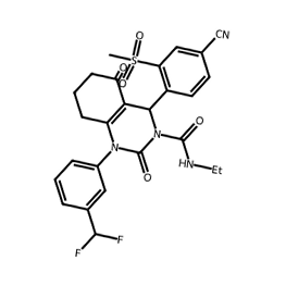 CCNC(=O)N1C(=O)N(c2cccc(C(F)F)c2)C2=C(C(=O)CCC2)C1c1ccc(C#N)cc1S(C)(=O)=O